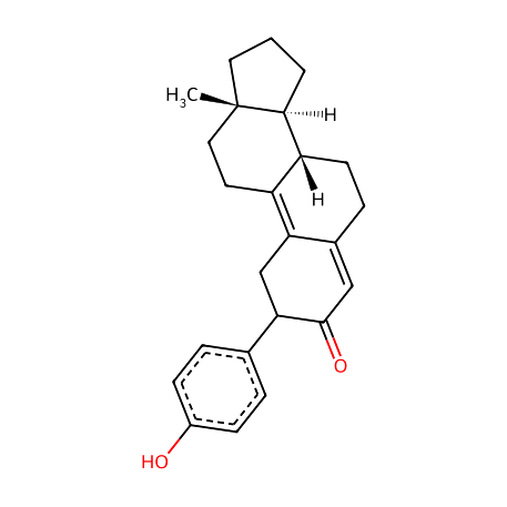 C[C@@]12CCC[C@H]1[C@@H]1CCC3=CC(=O)C(c4ccc(O)cc4)CC3=C1CC2